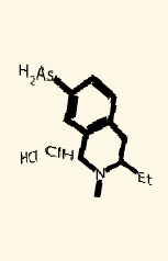 CCC1Cc2ccc([AsH2])cc2CN1C.Cl.Cl